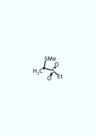 C=C(SC)S(=O)(=O)CC